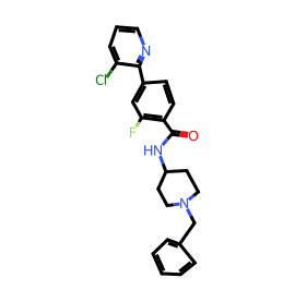 O=C(NC1CCN(Cc2ccccc2)CC1)c1ccc(-c2ncccc2Cl)cc1F